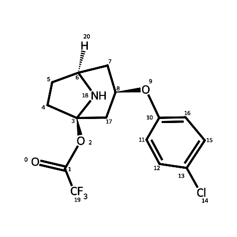 O=C(O[C@]12CC[C@@H](C[C@@H](Oc3ccc(Cl)cc3)C1)N2)C(F)(F)F